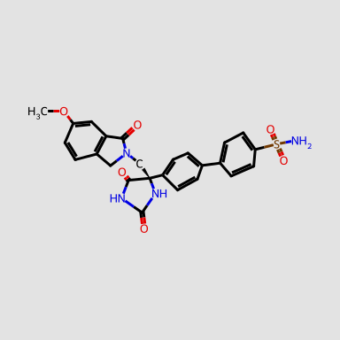 COc1ccc2c(c1)C(=O)N(C[C@@]1(c3ccc(-c4ccc(S(N)(=O)=O)cc4)cc3)NC(=O)NC1=O)C2